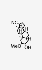 CO[C@H]1C[C@@]2(C)[C@@H](CC[C@@H]3[C@@H]2CC[C@]2(C)[C@@H](C#N)CC[C@@H]32)C[C@@H]1O